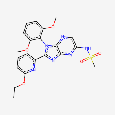 CCOc1cccc(-c2nc3nc(NS(C)(=O)=O)cnc3n2-c2c(OC)cccc2OC)n1